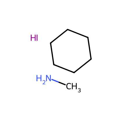 C1CCCCC1.CN.I